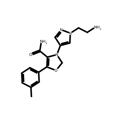 Cc1cccc(C2=C(C(N)=O)N(c3cnn(CCN)c3)CO2)c1